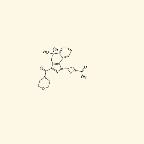 O=C(O)N1CC(n2nc(C(=O)N3CCOCC3)c3c2-c2ccccc2S(O)(O)C3)C1